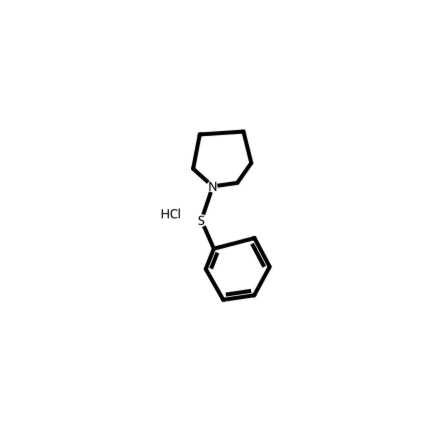 Cl.c1ccc(SN2CCCCC2)cc1